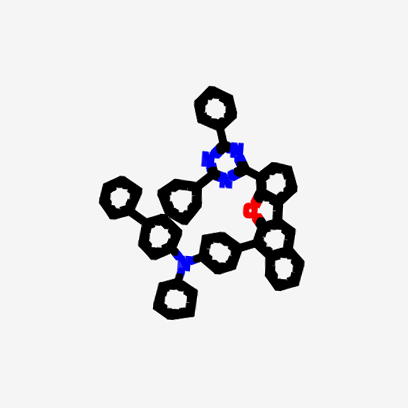 c1ccc(-c2ccc(N(c3ccccc3)c3ccc(-c4c5ccccc5cc5c4oc4c(-c6nc(-c7ccccc7)nc(-c7ccccc7)n6)cccc45)cc3)cc2)cc1